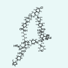 Cc1ncsc1-c1ccc([C@H](C)NC(=O)[C@@H]2C[C@@H](O)CN2C(=O)[C@@H](NC(=O)CCCCCNC(=O)c2ccc(N3CCN(CC4(C)CCC(c5ccc(Cl)cc5)=C(CN5CCN(c6ccc(C(=O)NS(=O)(=O)c7ccc(N[C@H](CCN8CCOCC8)CSc8ccccc8)c(S(=O)(=O)C(F)(F)F)c7)cc6)CC5)C4)CC3)cc2)C(C)(C)C)cc1